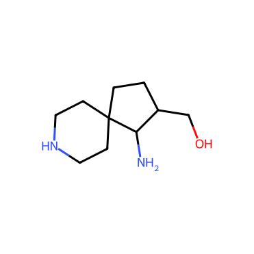 NC1C(CO)CCC12CCNCC2